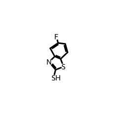 Fc1ccc2sc(S)nc2c1